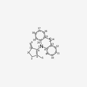 C=C1CCC(C)=C1N1c2ccccc2Sc2ccccc21